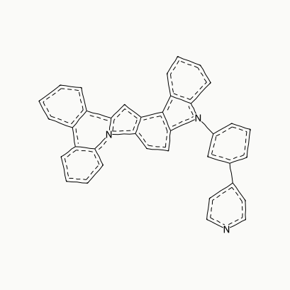 c1cc(-c2ccncc2)cc(-n2c3ccccc3c3c4cc5c6ccccc6c6ccccc6n5c4ccc32)c1